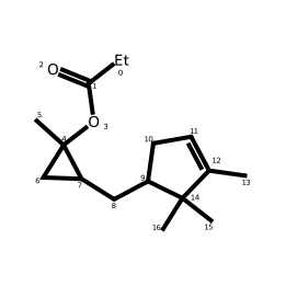 CCC(=O)OC1(C)CC1CC1CC=C(C)C1(C)C